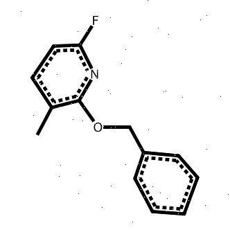 Cc1ccc(F)nc1OCc1ccccc1